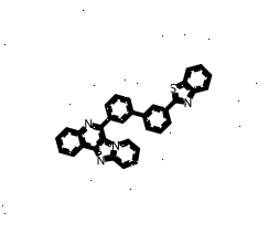 c1cc(-c2cccc(-c3nc4ccccc4c4nc5ccccn5c34)c2)cc(-c2nc3ccccc3s2)c1